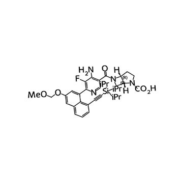 COCOc1cc(-c2ncc(C(=O)N3C[C@@H]4[C@H]3CCN4C(=O)O)c(N)c2F)c2c(C#C[Si](C(C)C)(C(C)C)C(C)C)cccc2c1